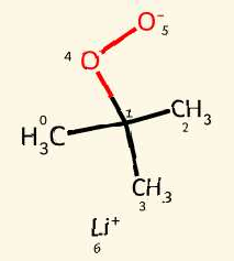 CC(C)(C)O[O-].[Li+]